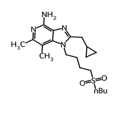 CCCCS(=O)(=O)CCCCn1c(CC2CC2)nc2c(N)nc(C)c(C)c21